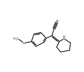 COc1ccc(C(C#N)=C2CCCCN2)cc1